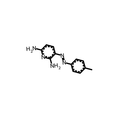 Cc1ccc(/N=N/c2ccc(N)nc2N)cc1